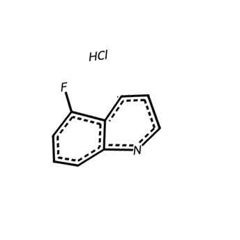 Cl.Fc1cccc2ncc[c]c12